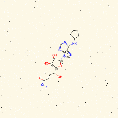 NC(=O)CCC(O)[C@H]1O[C@@H](n2cnc3c(NC4CCCC4)ncnc32)[C@H](O)[C@@H]1O